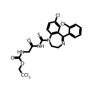 O=C(CNC(=O)OCC(Cl)(Cl)Cl)NC(=S)N1CCN=C(c2ccccc2Cl)c2cc(Cl)ccc21